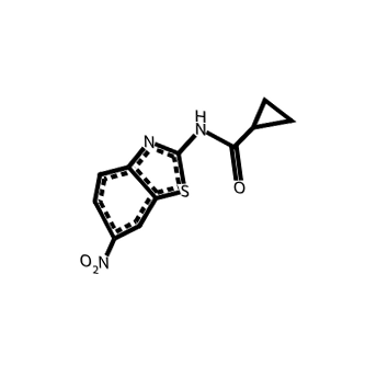 O=C(Nc1nc2ccc([N+](=O)[O-])cc2s1)C1CC1